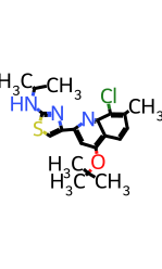 Cc1ccc2c(OC(C)(C)C)cc(-c3csc(NC(C)C)n3)nc2c1Cl